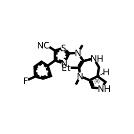 CCC1=C(N(C)c2nc(-c3ccc(F)cc3)c(C#N)s2)NC[C@H]2CNC=C2N1C